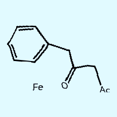 CC(=O)CC(=O)Cc1ccccc1.[Fe]